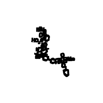 CCCCOC(=O)N1CCC[C@@H](c2cn(C(C)(C)Cc3c(-c4cccnc4C(C)OC)n(CC)c4ccc(-c5cccc(CC(NC(=O)OCc6ccccc6)C(=O)OC)c5)cc34)nn2)N1C(=O)O